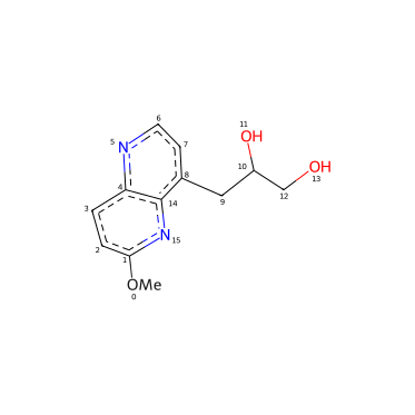 COc1ccc2nccc(CC(O)CO)c2n1